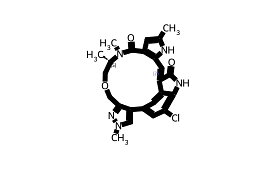 Cc1cc2c([nH]1)/C=C1\C(=O)Nc3c(Cl)cc(cc31)-c1cn(C)nc1COC[C@H](C)N(C)C2=O